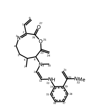 C=C/C1=N/CCC(C)C(N(C)/C=C\Nc2ccccc2C(=C)NC)C(=C)OC1=O